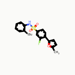 Cc1ccc(-c2ccc(S(=O)(=O)Nc3[c]cccc3C(C)(C)C)cc2F)o1